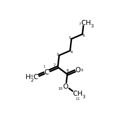 C=C=C(CCCCC)C(=O)OC